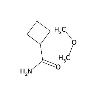 COC.NC(=O)C1CCC1